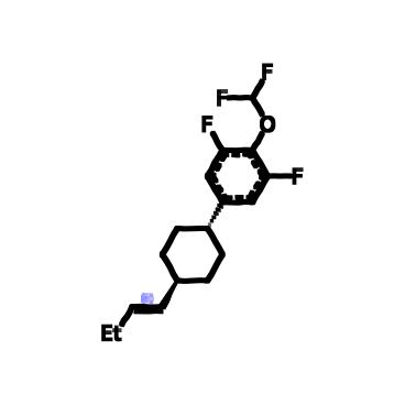 CC/C=C/[C@H]1CC[C@H](c2cc(F)c(OC(F)F)c(F)c2)CC1